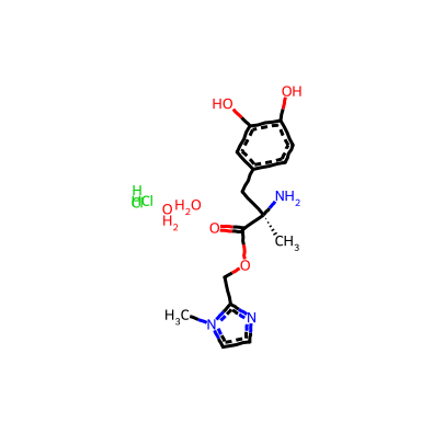 Cl.Cl.Cn1ccnc1COC(=O)[C@](C)(N)Cc1ccc(O)c(O)c1.O.O